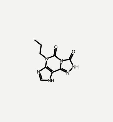 CCCn1c(=O)n2c(=O)[nH]nc2c2[nH]cnc21